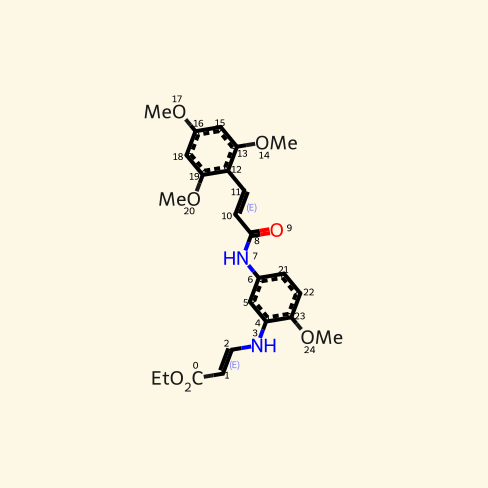 CCOC(=O)/C=C/Nc1cc(NC(=O)/C=C/c2c(OC)cc(OC)cc2OC)ccc1OC